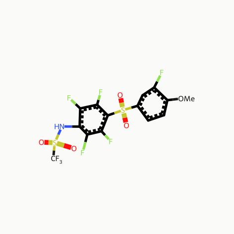 COc1ccc(S(=O)(=O)c2c(F)c(F)c(NS(=O)(=O)C(F)(F)F)c(F)c2F)cc1F